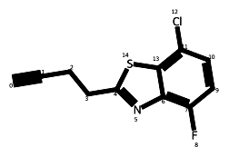 C#CCCc1nc2c(F)ccc(Cl)c2s1